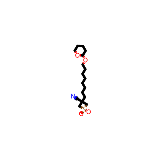 N#CC1(CCCCCCCCOC2CCCCO2)CS(=O)(=O)C1